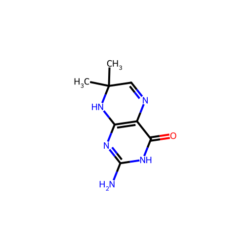 CC1(C)C=Nc2c(nc(N)[nH]c2=O)N1